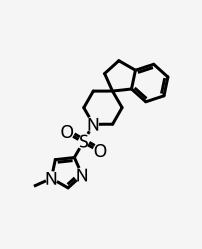 Cn1cnc(S(=O)(=O)N2CCC3(CCc4ccccc43)CC2)c1